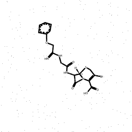 N=C(COc1ccccc1)NCC(=O)NC1C(=O)N2C(C(=O)O)=C(Br)CS[C@@H]12